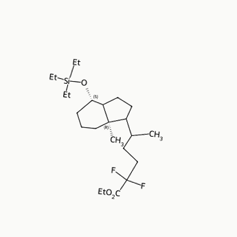 CCOC(=O)C(F)(F)CCC(C)C1CCC2[C@@H](O[Si](CC)(CC)CC)CCC[C@]12C